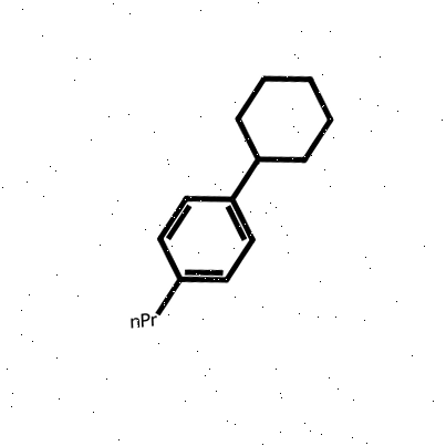 CCCc1ccc([C]2CCCCC2)cc1